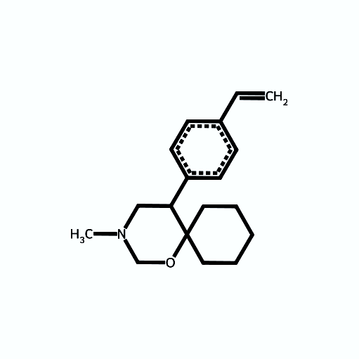 C=Cc1ccc(C2CN(C)COC23CCCCC3)cc1